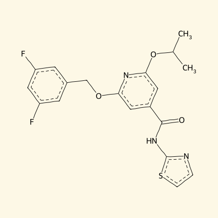 CC(C)Oc1cc(C(=O)Nc2nccs2)cc(OCc2cc(F)cc(F)c2)n1